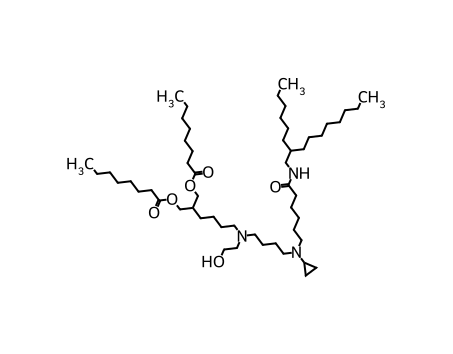 CCCCCCCCC(CCCCCC)CNC(=O)CCCCCN(CCCCN(CCO)CCCCC(COC(=O)CCCCCCC)COC(=O)CCCCCCC)C1CC1